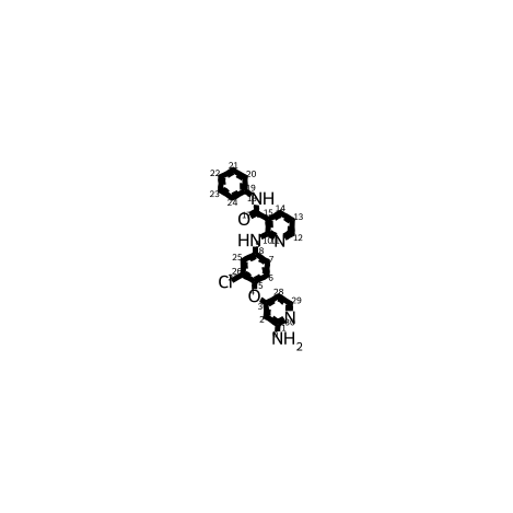 Nc1cc(Oc2ccc(Nc3ncccc3C(=O)Nc3ccccc3)cc2Cl)ccn1